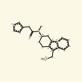 CN(C(=O)Cc1ccsc1)[C@@H]1CCc2c(CC(=O)O)c3ccccn3c2C1